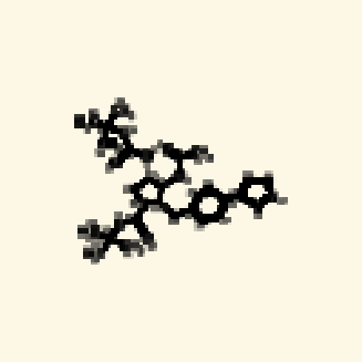 CC(=O)O[C@@H]1[C@@H](OC(=O)OC(C)(C)C)CN(C(=O)OC(C)(C)C)[C@@H]1Cc1ccc(-c2ccns2)cc1